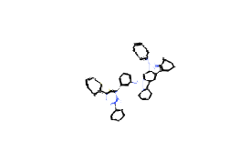 c1ccc(-c2nc(-c3cccc(-n4c5ccccc5c5cc6c7ccccc7n(-c7ccccc7)c6cc54)c3)c3sc4ccccc4c3n2)cc1